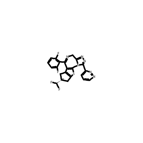 Fc1cccc(F)c1C1=NCc2nnc(-c3cccnn3)n2-c2sc3c(c21)C[C@@H](C(F)F)C3